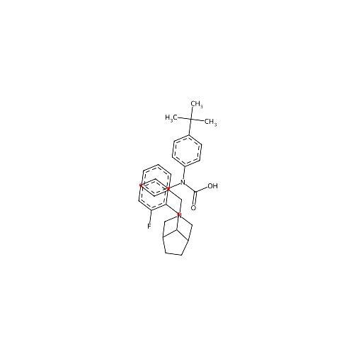 CC(C)(C)c1ccc(N(C(=O)O)c2cccc(F)c2CC2C3CCC2CN(Cc2ccccc2)C3)cc1